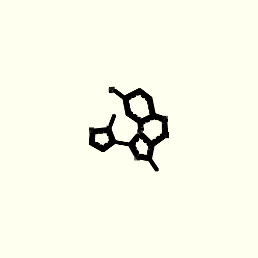 Cc1nc(-c2ccnn2C)n2c1nnc1ccc(Cl)cc12